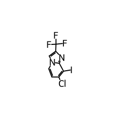 FC(F)(F)c1cn2ccc(Cl)c(I)c2n1